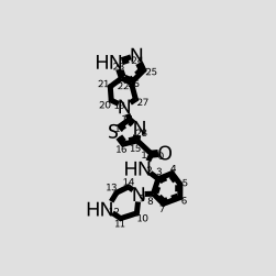 O=C(Nc1ccccc1N1CCNCC1)c1csc(N2CCc3[nH]ncc3C2)n1